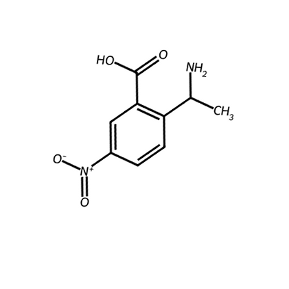 CC(N)c1ccc([N+](=O)[O-])cc1C(=O)O